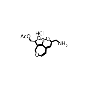 CC(=O)OC[C@H]1OB2OC(CN)C=C3C=COCC1=C23.Cl